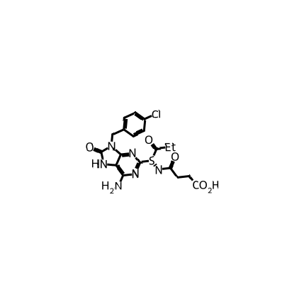 CCC(=O)/S(=N\C(=O)CCC(=O)O)c1nc(N)c2[nH]c(=O)n(Cc3ccc(Cl)cc3)c2n1